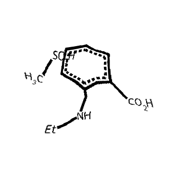 CCNc1ccccc1C(=O)O.CS(=O)(=O)O